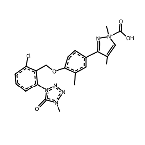 CC1=C[N+](C)(C(=O)O)N=C1c1ccc(OCc2c(Cl)cccc2-n2nnn(C)c2=O)c(C)c1